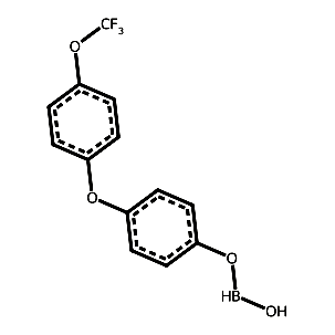 OBOc1ccc(Oc2ccc(OC(F)(F)F)cc2)cc1